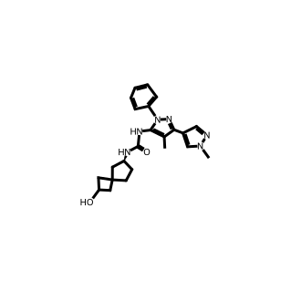 Cc1c(-c2cnn(C)c2)nn(-c2ccccc2)c1NC(=O)N[C@H]1CCC2(CC(O)C2)C1